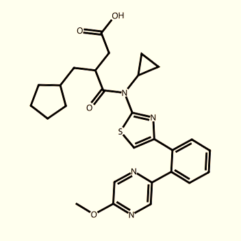 COc1cnc(-c2ccccc2-c2csc(N(C(=O)C(CC(=O)O)CC3CCCC3)C3CC3)n2)cn1